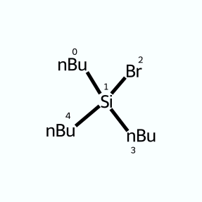 CCCC[Si](Br)(CCCC)CCCC